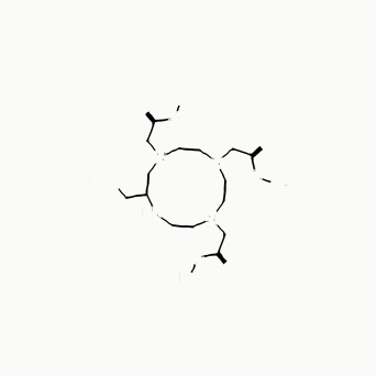 CC(C)(C)OC(=O)CN1CCNC(CC(=O)O)CN(CC(=O)OC(C)(C)C)CCN(CC(=O)OC(C)(C)C)CC1